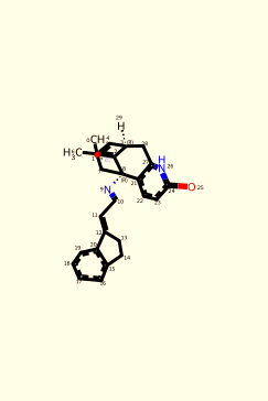 C/C=C1\[C@H]2C=C(C)C[C@]1(N=CC=C1CCc3ccccc31)c1ccc(=O)[nH]c1C2